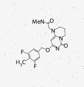 CNC(=O)CN1CCCn2c1cc(OCc1cc(F)c(C)c(F)c1)nc2=O